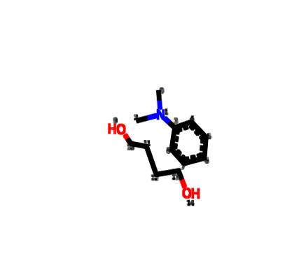 CN(C)c1ccccc1.OCCCCO